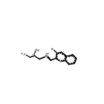 CC[C@@H](O)CNCc1nc2ccccc2cc1Br